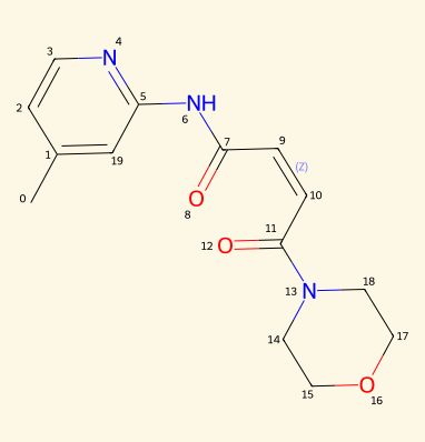 Cc1ccnc(NC(=O)/C=C\C(=O)N2CCOCC2)c1